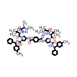 CN[C@@H](C)C(=O)N[C@H](C(=O)N1C[C@@H](NC(=O)c2ccc(C(=O)N[C@H]3C[C@@H](C(=O)N[C@H](c4ccccc4)c4ccc(C)cc4)N(C(=O)[C@@H](NC(=O)[C@H](C)NC)C(C)(C)C)C3)cc2)C[C@H]1C(=O)N[C@H](c1ccccc1)c1ccc(C)cc1)C(C)(C)C